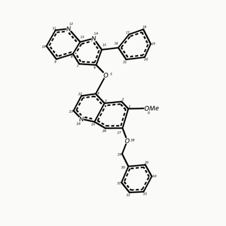 COc1cc2c(Oc3cc4cccnc4nc3-c3ccccc3)ccnc2cc1OCc1ccccc1